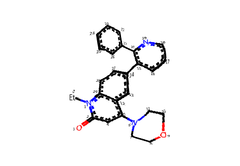 CCn1c(=O)cc(N2CCOCC2)c2cc(-c3cccnc3-c3ccccc3)ccc21